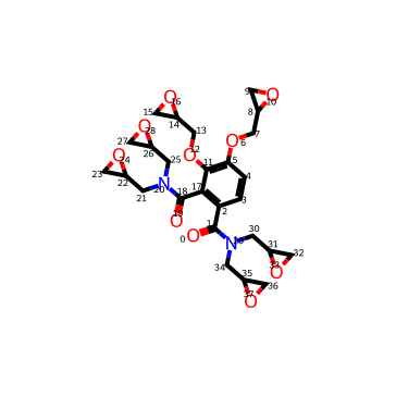 O=C(c1ccc(OCC2CO2)c(OCC2CO2)c1C(=O)N(CC1CO1)CC1CO1)N(CC1CO1)CC1CO1